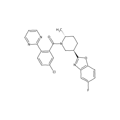 C[C@@H]1CC[C@@H](c2nc3cc(F)ccc3o2)CN1C(=O)c1cc(Cl)ccc1-c1ncccn1